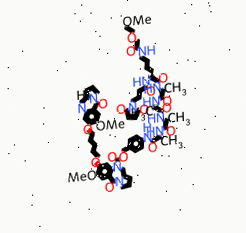 COCCOCC(=O)NCCCC[C@H](NC(=O)CCCN1C(=O)C=CC1=O)C(=O)N[C@@H](C)C(=O)N[C@@H](C)C(=O)N[C@@H](C)C(=O)N[C@@H](C)C(=O)Nc1ccc(COC(=O)N2CC3CCCN3C(=O)c3cc(OC)c(OCCCCCOc4cc5c(cc4OC)C(=O)N4CCC[C@H]4C=N5)cc32)cc1